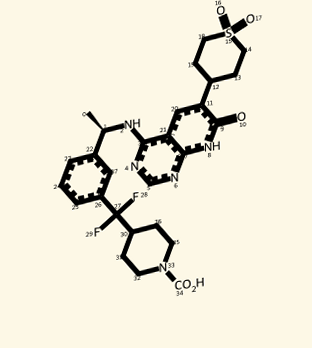 C[C@@H](Nc1ncnc2[nH]c(=O)c(C3CCS(=O)(=O)CC3)cc12)c1cccc(C(F)(F)C2CCN(C(=O)O)CC2)c1